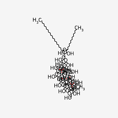 CCCCCCCCCCCCC/C=C/[C@@H](O)[C@H](CO[C@@H]1OC(CO)[C@@H](O[C@@H]2OC(CO)[C@H](O[C@@H]3OC(CO)[C@H](O)[C@H](O[C@@H]4OC(CO)[C@H](O)[C@H](O[C@@H]5OC(CO)[C@@H](O[C@@H]6OC(CO)[C@H](O)[C@H](O)C6O)[C@H](O[C@H]6OC(C)[C@@H](O)C(O)[C@@H]6O)C5NC(C)=O)C4O)C3NC(C)=O)[C@H](O[C@]3(C(=O)O)CC(O)[C@@H](NC(C)=O)C([C@H](O)[C@H](O)CO)O3)C2O)[C@H](O)C1O)NC(=O)CCCCCCCCCCCCCCCCCCCCC